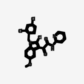 COc1ccc2c(c1)c(C(=O)C(=O)Nc1ccccn1)c(Cl)n2Cc1ccc(Cl)cc1Cl